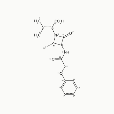 CC(C)=C(C(=O)O)N1C(=O)C(NC(=O)COc2ccccc2)C1F